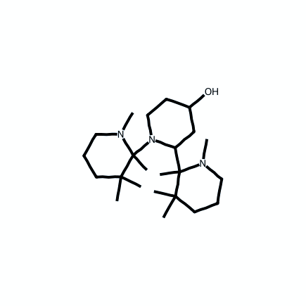 CN1CCCC(C)(C)C1(C)C1CC(O)CCN1C1(C)N(C)CCCC1(C)C